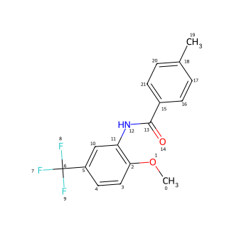 COc1ccc(C(F)(F)F)cc1NC(=O)c1ccc(C)cc1